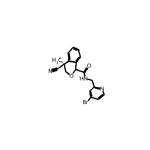 C[C@@]1(C#N)COC(C(=O)NCc2cc(Br)ccn2)c2ccccc21